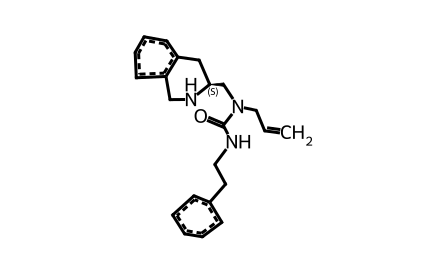 C=CCN(C[C@@H]1Cc2ccccc2CN1)C(=O)NCCc1ccccc1